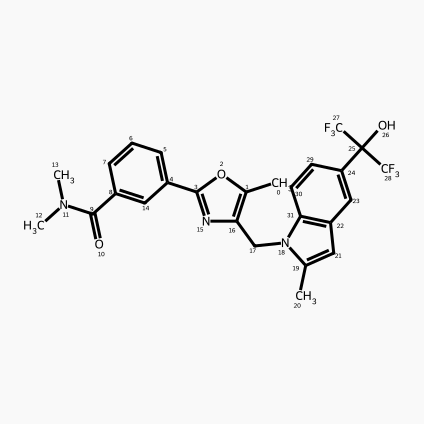 Cc1oc(-c2cccc(C(=O)N(C)C)c2)nc1Cn1c(C)cc2cc(C(O)(C(F)(F)F)C(F)(F)F)ccc21